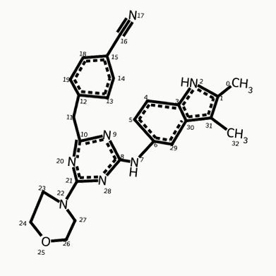 Cc1[nH]c2ccc(Nc3nc(Cc4ccc(C#N)cc4)nc(N4CCOCC4)n3)cc2c1C